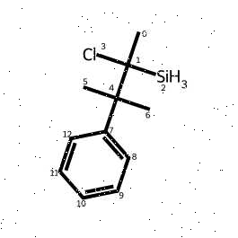 CC([SiH3])(Cl)C(C)(C)c1ccccc1